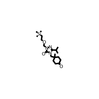 CC(C)c1nn(COCC[Si](C)(C)C)c(=O)n1CC1(C)CCC(=O)CC1